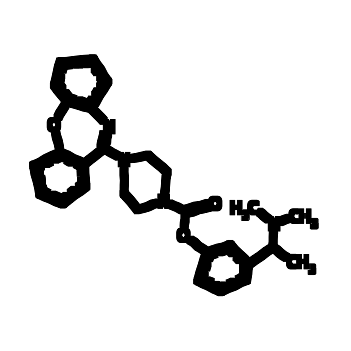 CC(c1cccc(OC(=O)N2CCN(C3=Nc4ccccc4Oc4ccccc43)CC2)c1)N(C)C